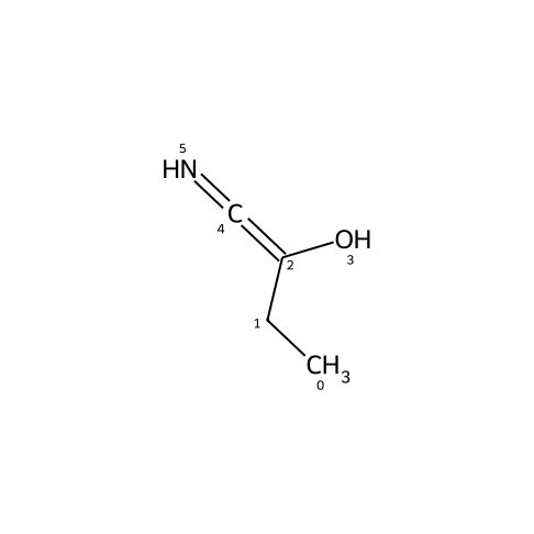 CCC(O)=C=N